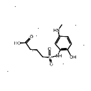 CNc1ccc(O)c(NS(=O)(=O)CCCC(=O)O)c1